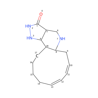 O=C1NNC2C1CNC1C/C=C\C=C/CCCCC12